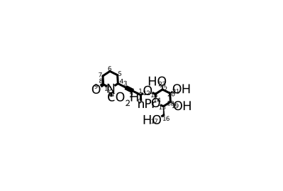 CCCC(C#CC1CCCC(=O)N1C(=O)O)OC1O[C@H](CO)[C@@H](O)[C@H](O)[C@H]1O